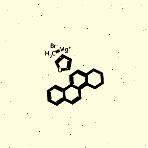 [Br-].[CH3][Mg+].c1ccc2c(c1)ccc1c3c(ccc12)CCCC3.c1ccoc1